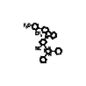 N#Cc1ccc(-n2c3ccccc3c3ccc(-c4ccc(C(F)(F)F)cc4C(F)(F)F)cc32)cc1-c1nc(-c2ccccc2)nc(-c2ccccc2)n1